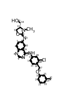 CN1/C(=N/c2ccc3ncnc(Nc4ccc(COc5cccc(F)c5)c(Cl)c4)c3c2)OC[C@@H]1CO